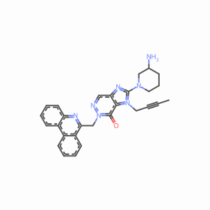 CC#CCn1c(N2CCCC(N)C2)nc2cnn(Cc3nc4ccccc4c4ccccc34)c(=O)c21